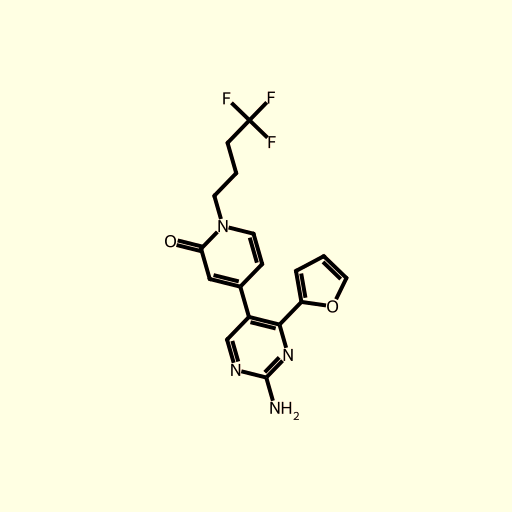 Nc1ncc(-c2ccn(CCCC(F)(F)F)c(=O)c2)c(-c2ccco2)n1